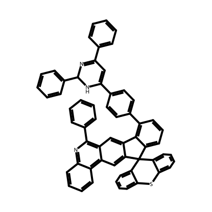 C1=C(c2ccc(-c3cccc4c3-c3cc5c(-c6ccccc6)nc6ccccc6c5cc3C43c4ccccc4Sc4ccccc43)cc2)NC(c2ccccc2)N=C1c1ccccc1